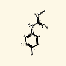 COC(=O)[N]c1ccc(C)nc1